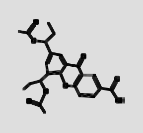 CCC(OC(C)=O)c1cc(C(CC)OC(C)=O)c2oc3ccc(C(=O)O)cc3c(=O)c2c1